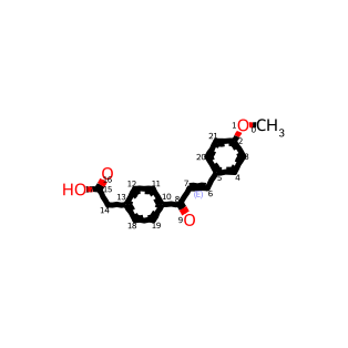 COc1ccc(/C=C/C(=O)c2ccc(CC(=O)O)cc2)cc1